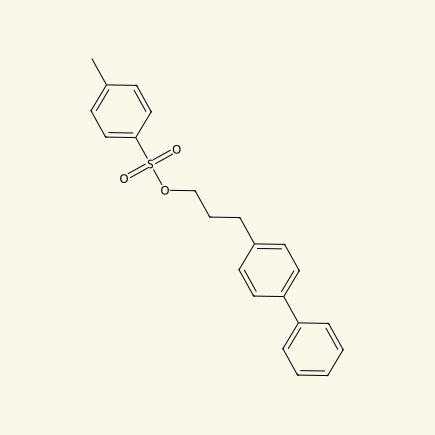 Cc1ccc(S(=O)(=O)OCCCc2ccc(-c3ccccc3)cc2)cc1